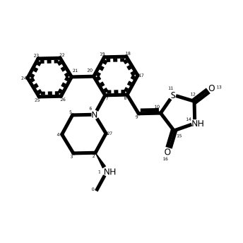 CN[C@H]1CCCN(c2c(/C=C3\SC(=O)NC3=O)cccc2-c2ccccc2)C1